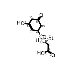 CCC(=O)O.CCOC(=O)C1C=C(O)CC(=O)C1